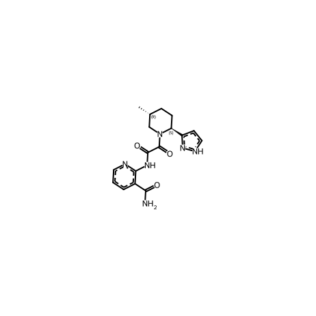 C[C@@H]1CC[C@@H](c2cc[nH]n2)N(C(=O)C(=O)Nc2ncccc2C(N)=O)C1